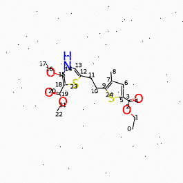 CCOC(=O)c1cc(C)c(CCC2=CNC(OC)=C(C(=O)OC)S2)s1